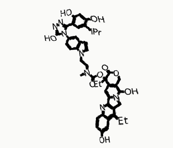 CCc1c2c(nc3ccc(O)cc13)C1=CC3=C(COC(=O)C3(CC)OC(=O)N(C)CCn3ccc4cc(-n5c(O)nnc5-c5cc(C(C)C)c(O)cc5O)ccc43)C(O)N1C2